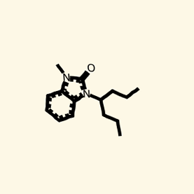 CCCC(CCC)n1c(=O)n(C)c2ccccc21